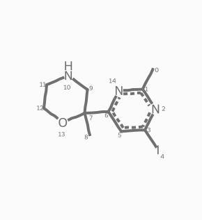 Cc1nc(I)cc(C2(C)CNCCO2)n1